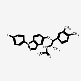 Cc1ccc([C@@H](Oc2ccc3c(cnn3-c3ccc(F)cc3)c2)[C@H](C)NC(=O)C(F)(F)F)cc1C